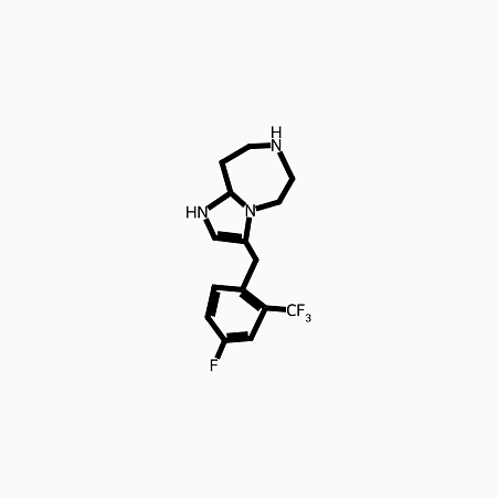 Fc1ccc(CC2=CNC3CCNCCN23)c(C(F)(F)F)c1